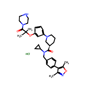 Cc1noc(C)c1-c1ccc(CN(C(=O)[C@@H]2CCCN(c3cccc(OC(C)(C)C(=O)N4CCNCC4)c3)C2)C2CC2)cc1.Cl